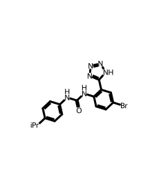 CC(C)c1ccc(NC(=O)Nc2ccc(Br)cc2-c2nnn[nH]2)cc1